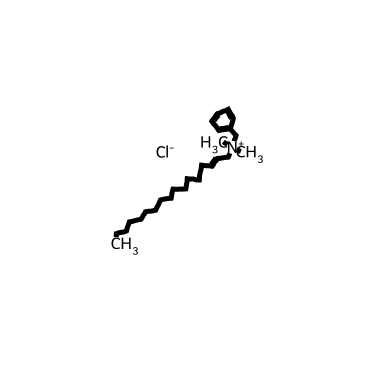 CCCCCCCCCCCCCCC=CC[N+](C)(C)Cc1ccccc1.[Cl-]